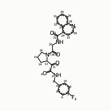 O=C(NCc1ccc(F)cc1)C(=O)C1CCCN1C(=O)CNC(=O)c1ccnc2ccccc12